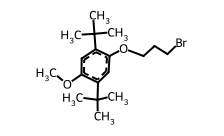 COc1cc(C(C)(C)C)c(OCCCBr)cc1C(C)(C)C